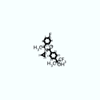 C[C@@H](c1ccc(F)cc1)N(C(=O)c1ccc([C@](C)(O)C(F)(F)F)cc1)C1CC1